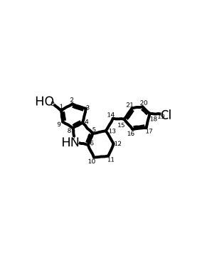 Oc1ccc2c3c([nH]c2c1)CCCC3Cc1ccc(Cl)cc1